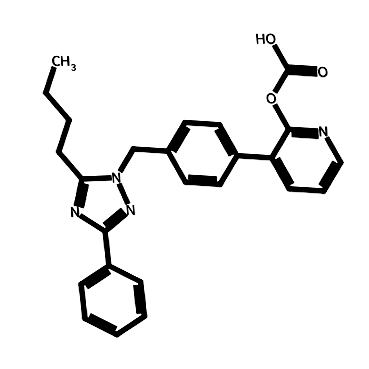 CCCCc1nc(-c2ccccc2)nn1Cc1ccc(-c2cccnc2OC(=O)O)cc1